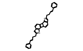 C1=CC2c3c(ccc4cc(CC/C=C/c5ccccc5)sc34)C2c2sc(CC/C=C/c3ccccc3)cc21